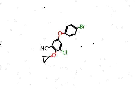 N#Cc1cc(Oc2ccc(Br)cc2)cc(Cl)c1OC1CC1